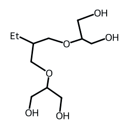 CCC(COC(CO)CO)COC(CO)CO